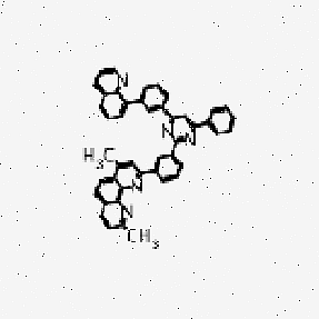 Cc1ccc2ccc3c(C)cc(-c4cccc(-c5nc(-c6ccccc6)cc(-c6cccc(-c7cccc8cccnc78)c6)n5)c4)nc3c2n1